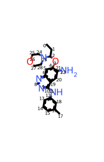 CCC(Oc1cc2ncnc(Nc3cccc(C)c3)c2cc1N)N1CCOCC1